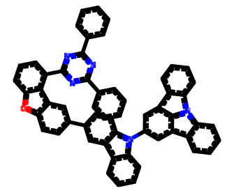 c1ccc(-c2nc(-c3ccccc3)nc(-c3cccc4oc5ccc(-c6ccc7c(c6)c6ccccc6n7-c6cc7c8ccccc8n8c9ccccc9c(c6)c78)cc5c34)n2)cc1